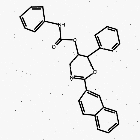 O=C(Nc1ccccc1)OC1CN=C(c2ccc3ccccc3c2)OC1c1ccccc1